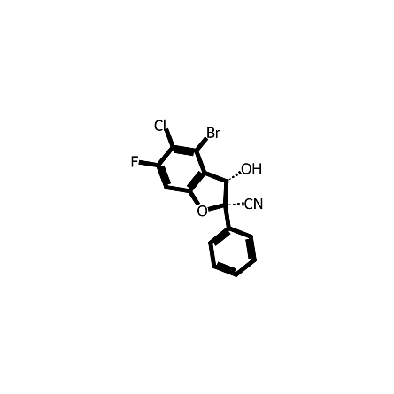 N#C[C@]1(c2ccccc2)Oc2cc(F)c(Cl)c(Br)c2[C@@H]1O